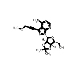 COCC#Cc1nn([C@@H]2O[C@H](CO)[C@H]3OC(C)(C)O[C@H]32)c2ncnc(N)c12